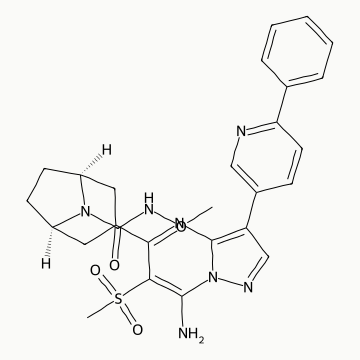 CONC(=O)N1[C@@H]2CC[C@H]1CC(c1nc3c(-c4ccc(-c5ccccc5)nc4)cnn3c(N)c1S(C)(=O)=O)C2